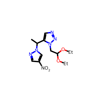 CCOC(Cn1nncc1C(C)n1cc([N+](=O)[O-])cn1)OCC